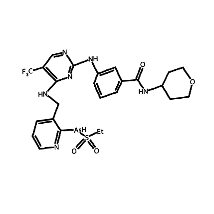 CCS(=O)(=O)[AsH]c1ncccc1CNc1nc(Nc2cccc(C(=O)NC3CCOCC3)c2)ncc1C(F)(F)F